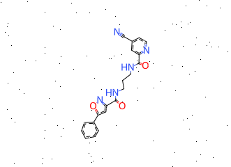 N#Cc1ccnc(C(=O)NCCCNC(=O)c2cc(-c3ccccc3)on2)c1